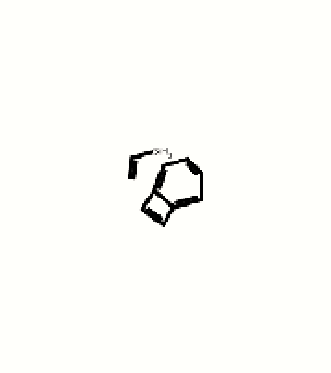 C1=Cc2ccccc21.C=C[SiH3]